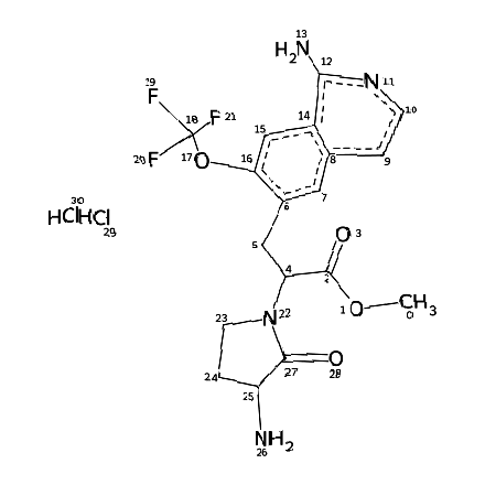 COC(=O)C(Cc1cc2ccnc(N)c2cc1OC(F)(F)F)N1CCC(N)C1=O.Cl.Cl